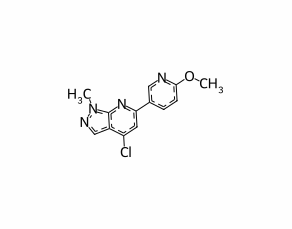 COc1ccc(-c2cc(Cl)c3cnn(C)c3n2)cn1